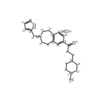 CC(=O)N1CCC(CCC(=O)c2ccc3c(c2)CCN(Cc2ccco2)CC3)CC1.Cl